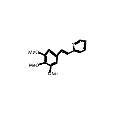 COc1cc(C=Cc2ccccn2)cc(OC)c1OC